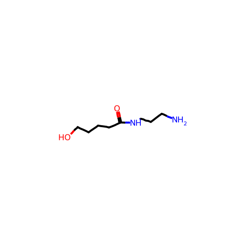 NCCCNC(=O)CCCCO